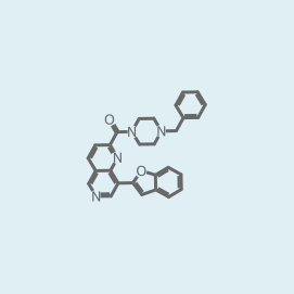 O=C(c1ccc2cncc(-c3cc4ccccc4o3)c2n1)N1CCN(Cc2ccccc2)CC1